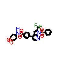 O=S1(=O)CCC(NS(=O)(=O)c2ccc(-c3ccnc4c3cc(C(F)F)n4S(=O)(=O)c3ccccc3)cc2)CC1